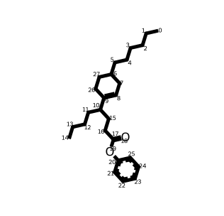 CCCCCCC1CC=C(C(CCCC)CCC(=O)Oc2ccccc2)CC1